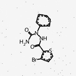 NC(=O)N(NC(=O)c1sccc1Br)c1ccccc1